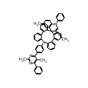 Cc1ccc2c(c1)C1(c3ccccc3-c3ccccc3N(c3ccc(-c4nc(C)nc(-c5ccccc5)c4C)cc3)c3ccccc3-c3ccccc31)c1cc(C)ccc1N2c1ccccc1